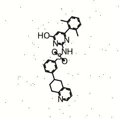 Cc1cccc(C)c1-c1cc(O)nc(NS(=O)(=O)c2cccc(C3CCc4ncccc4C3)c2)n1